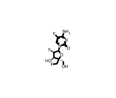 Nc1nc(=O)n(C2O[C@@](CO)(CF)[C@@H](O)[C@H]2F)cc1F